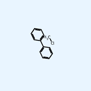 CCl.c1ccc(-c2ccccc2)cc1